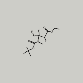 CCOC(=O)C(F)C(F)(CF)N(C)C(=O)OC(C)(C)C